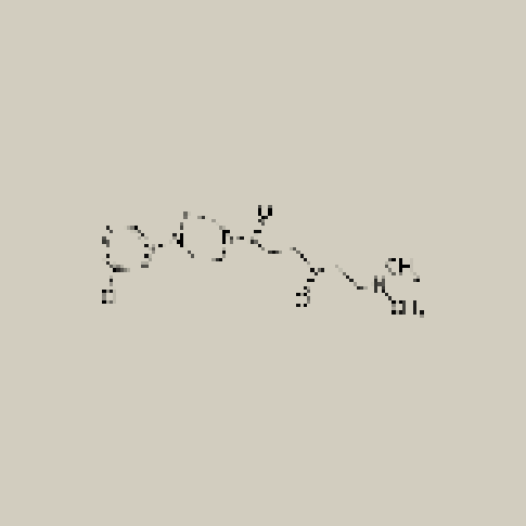 CN(C)CCC(=O)CCC(=O)N1CCN(c2cccc(Cl)c2)CC1